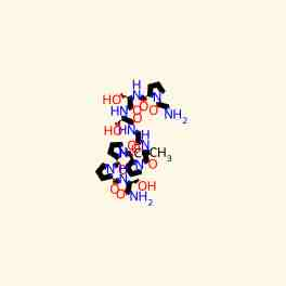 CC(C)(NC(=O)CNC(=O)[C@H](CO)NC(=O)[C@H](CO)NC(=O)[C@@H]1CCCN1C(=O)CN)C(=O)N1CCC[C@H]1C(=O)N1CCC[C@H]1C(=O)N1CCC[C@H]1C(=O)N[C@@H](CO)C(N)=O